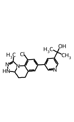 CC1=NNC2CCc3cc(-c4cncc(C(C)(C)O)c4)cc(Cl)c3N12